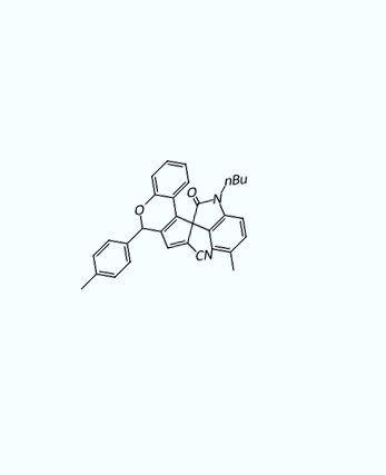 CCCCN1C(=O)C2(C(C#N)=CC3=C2c2ccccc2OC3c2ccc(C)cc2)c2cc(C)ccc21